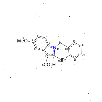 COc1ccc2c(c1)c(C(=O)O)c(C(C)C)n2Cc1ccccc1